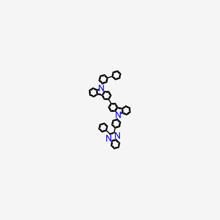 c1ccc(-c2cccc(-n3c4ccccc4c4cc(-c5ccc6c(c5)c5ccccc5n6-c5ccc(-c6nc7ccccc7nc6-c6ccccc6)cc5)ccc43)c2)cc1